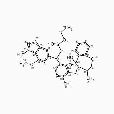 CCOC(=O)CC(c1ccc(C)c(CN2C(C)COc3ccccc3S2(O)O)c1)c1cc(OC)c2c(c1)nnn2C